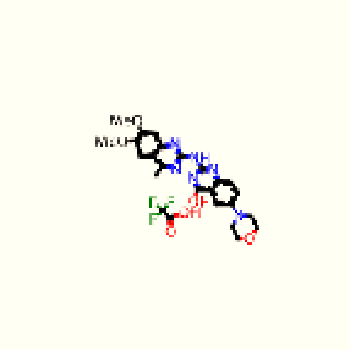 COc1cc2nc(Nc3nc(O)c4cc(N5CCOCC5)ccc4n3)nc(C)c2cc1OC.O=C(O)C(F)(F)F